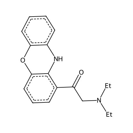 CCN(CC)CC(=O)c1cccc2c1Nc1ccccc1O2